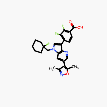 Cc1noc(C)c1-c1cnc2c(-c3ccc(C(=O)O)c(F)c3F)cn(CC3(F)CCCCC3)c2c1